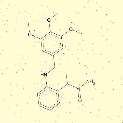 COc1cc(CNc2ccccc2C(C)C(N)=O)cc(OC)c1OC